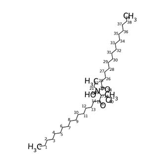 CCCCCCCCCCCCCCCC(=O)C(C)[N+](O)(CC)C(=O)CCCCCCCCCCCCCCC.[Cl-]